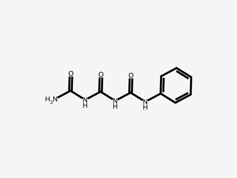 NC(=O)NC(=O)NC(=O)Nc1ccccc1